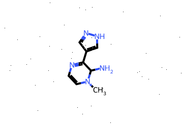 CN1C=CN=C(c2cn[nH]c2)C1N